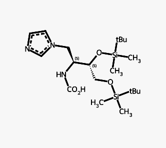 CC(C)(C)[Si](C)(C)OC[C@@H](O[Si](C)(C)C(C)(C)C)[C@H](Cn1ccnc1)NC(=O)O